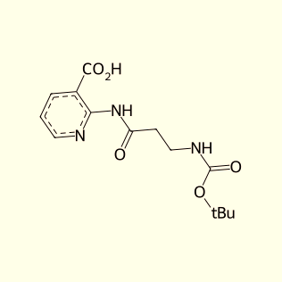 CC(C)(C)OC(=O)NCCC(=O)Nc1ncccc1C(=O)O